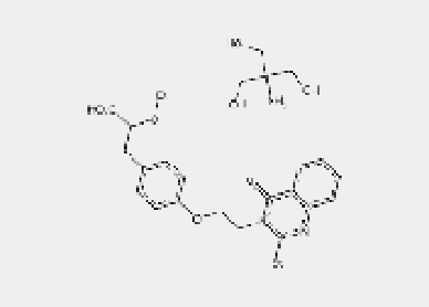 CCOC(Cc1ccc(OCCn2c(CC)nc3ccccc3c2=O)cc1)C(=O)O.NC(CO)(CO)CO